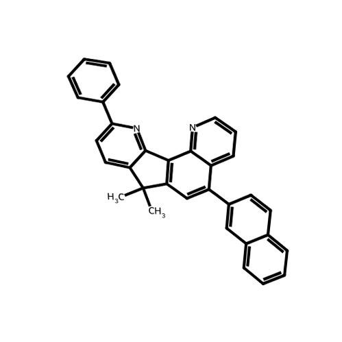 CC1(C)c2ccc(-c3ccccc3)nc2-c2c1cc(-c1ccc3ccccc3c1)c1cccnc21